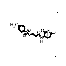 Cc1ccc(S(=O)(=O)NCCC(=O)NC2CCC(=O)NC2=O)cc1